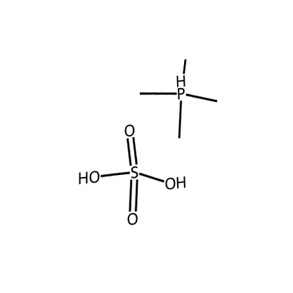 C[PH](C)(C)C.O=S(=O)(O)O